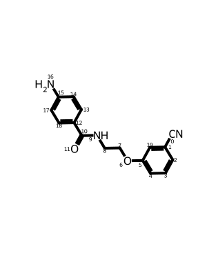 N#Cc1cccc(OCCNC(=O)c2ccc(N)cc2)c1